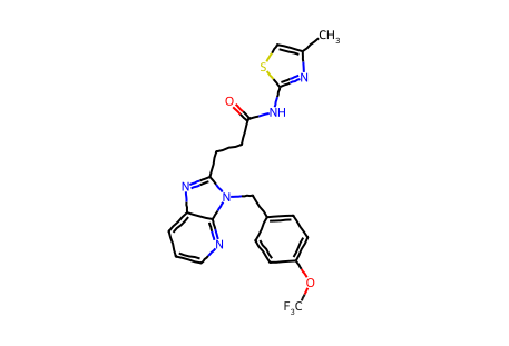 Cc1csc(NC(=O)CCc2nc3cccnc3n2Cc2ccc(OC(F)(F)F)cc2)n1